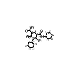 CC(C)C(=O)c1cc(C(=O)Nc2ccccc2)c(C(C)C)n(-c2ccccc2)c1=O